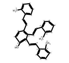 Cc1ccccc1/C=C/c1ccc(O)c(/C=C/c2ccccc2C)c1/C=C/c1ccccc1C